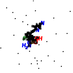 Cc1cc(C#N)cnc1C#Cc1ccc(F)c([C@@]2(C)N=C(N)S[C@@]3(C(=O)O)C[C@H]32)c1